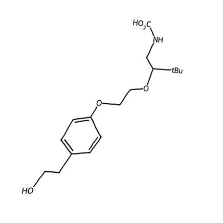 CC(C)(C)C(CNC(=O)O)OCCOc1ccc(CCO)cc1